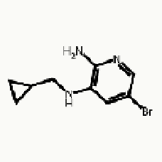 Nc1ncc(Br)cc1NCC1CC1